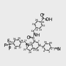 N#Cc1ccc(-c2cc(C(=O)NCc3ccc(C(=O)O)cc3)c3c(ccn3Cc3ccc(C(F)(F)F)cc3)c2)cc1